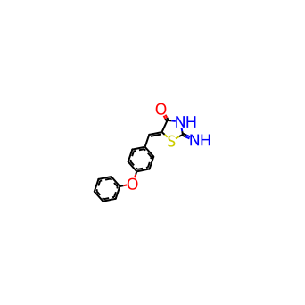 N=C1NC(=O)C(=Cc2ccc(Oc3ccccc3)cc2)S1